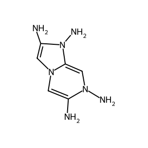 NC1=CN2C=C(N)N(N)C2=CN1N